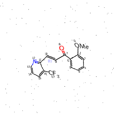 COc1ccccc1C(=O)/C=C/c1ncccc1C(F)(F)F